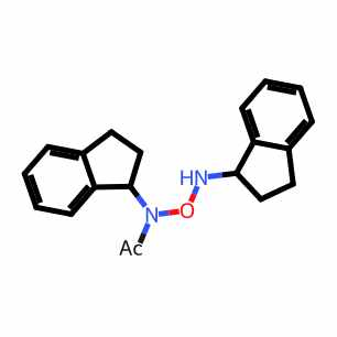 CC(=O)N(ONC1CCc2ccccc21)C1CCc2ccccc21